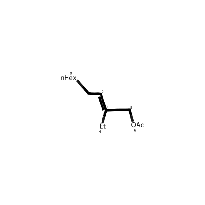 CCCCCCC/C=C(\CC)COC(C)=O